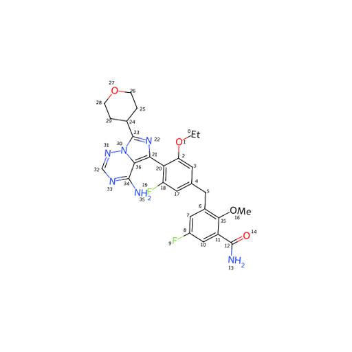 CCOc1cc(Cc2cc(F)cc(C(N)=O)c2OC)cc(F)c1-c1nc(C2CCOCC2)n2ncnc(N)c12